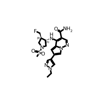 CCn1cc(-c2cc3c(N[C@@H]4CN(S(C)(=O)=O)C[C@H]4CF)c(C(N)=O)cnn3c2)cn1